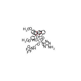 COc1ccc(C(OC(C(=O)c2ccccc2)(C(=O)c2ccccc2)[C@H]2O[C@@H](n3cnc4c(N)ncnc43)[C@H](OCCCNC(=O)C(F)(F)F)[C@@H]2O)(c2ccccc2)c2ccc(OC)cc2)cc1